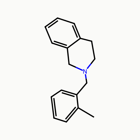 Cc1ccccc1CN1CCc2ccccc2C1